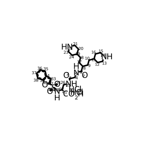 Cl.Cl.O=C(CNC(=O)C(CCC1CCNCC1)CCC1CCNCC1)NCC(NS(=O)(=O)c1cc2ccccc2o1)C(=O)O